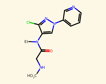 CCN(C(=O)CNC(=O)O)c1cn(-c2cccnc2)nc1Cl